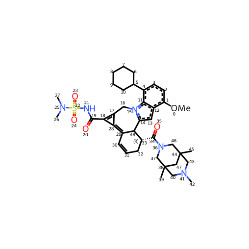 COc1ccc(C2CCCCC2)c2c1cc1n2CC2=C(C(=O)NS(=O)(=O)N(C)C)C2=C2C=CC[C@@H](C(=O)N3CC4(C)CN(C)CC(C)(C3)C4)C21